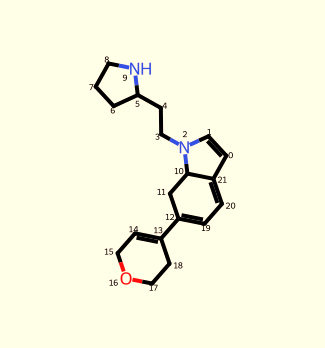 C1=CN(CCC2CCCN2)C2CC(C3=CCOCC3)=CC=C12